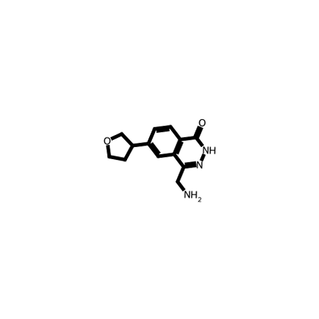 NCc1n[nH]c(=O)c2ccc(C3CCOC3)cc12